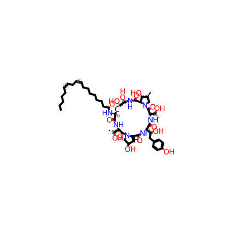 CCCCC/C=C\C/C=C\CCCCCCCC(=O)N[C@H]1C[C@@H](O)[C@@H](O)NC(=O)C2[C@@H](O)[C@@H](C)CN2C(=O)[C@H]([C@@H](C)O)NC(=O)[C@H]([C@H](O)Cc2ccc(O)cc2)NC(=O)[C@@H]2C[C@@H](O)CN2C(=O)[C@H]([C@@H](C)O)NC1=O